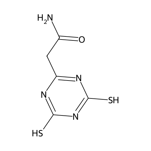 NC(=O)Cc1nc(S)nc(S)n1